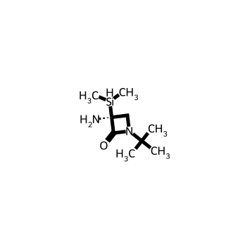 C[SiH](C)[C@@]1(N)CN(C(C)(C)C)C1=O